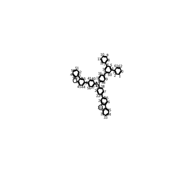 c1ccc(-c2cc(-c3ccccc3)cc(-c3ccc(N(c4ccc(-c5ccc6c(c5)oc5ccccc56)cc4)c4ccc(-c5ccc6oc7ccccc7c6c5)cc4)cc3)c2)cc1